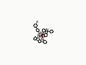 Fc1cccc(-c2ccc(-c3nc(-c4ccccc4)nc(-n4c5ccccc5c5ccc6c7ccccc7n(-c7ccc(-c8cccc9nc(-c%10ccccc%10)oc89)cc7)c6c54)n3)cc2)c1